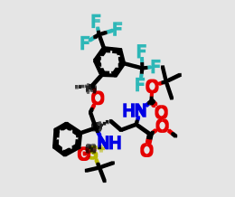 COC(=O)C(CC[C@](CO[C@H](C)c1cc(C(F)(F)F)cc(C(F)(F)F)c1)(N[S@+]([O-])C(C)(C)C)c1ccccc1)NC(=O)OC(C)(C)C